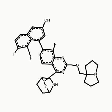 Oc1cc(-c2ncc3c(N4CC5CCC4CN5)nc(OCC45CCCN4CCC5)nc3c2F)c2c(F)c(F)ccc2c1